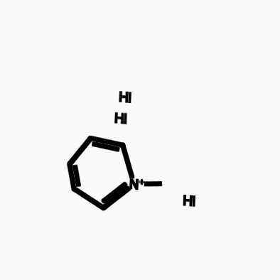 C[n+]1ccccc1.I.I.I